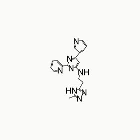 Cc1nnc(CCNc2cc(-c3cccnc3)nc(-c3ccccn3)n2)[nH]1